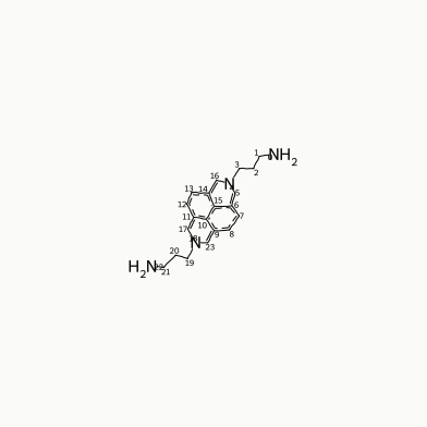 NCCCN1C=c2ccc3c4c(ccc(c24)=C1)=CN(CCCN)C=3